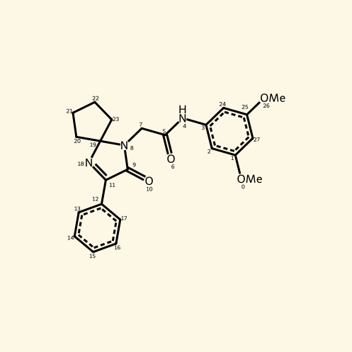 COc1cc(NC(=O)CN2C(=O)C(c3ccccc3)=NC23CCCC3)cc(OC)c1